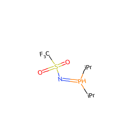 CC(C)[PH](=NS(=O)(=O)C(F)(F)F)C(C)C